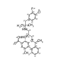 Cc1cc(C(=O)O)ccc1-c1ccccc1C(C)OC[C@@H](O)CNC(C)(C)Cc1ccc(Cl)c(F)c1